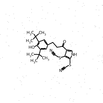 CC(C)(C)c1cc(CCC(=O)c2c[nH]c(SC#N)c2SC#N)cc(C(C)(C)C)c1O